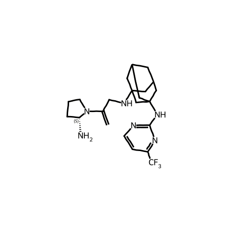 C=C(CNC12CC3CC(C1)CC(Nc1nccc(C(F)(F)F)n1)(C3)C2)N1CCC[C@H]1N